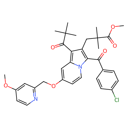 COC(=O)C(C)(C)Cc1c(C(=O)C(C)(C)C)c2cc(OCc3cc(OC)ccn3)ccn2c1C(=O)c1ccc(Cl)cc1